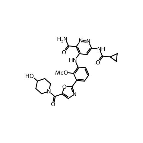 COc1c(Nc2cc(NC(=O)C3CC3)nnc2C(N)=O)cccc1-c1ncc(C(=O)N2CCC(O)CC2)o1